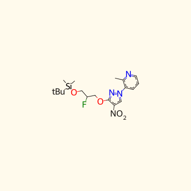 Cc1ncccc1-n1cc([N+](=O)[O-])c(OCC(F)CO[Si](C)(C)C(C)(C)C)n1